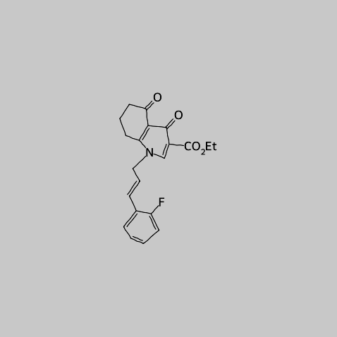 CCOC(=O)c1cn(CC=Cc2ccccc2F)c2c(c1=O)C(=O)CCC2